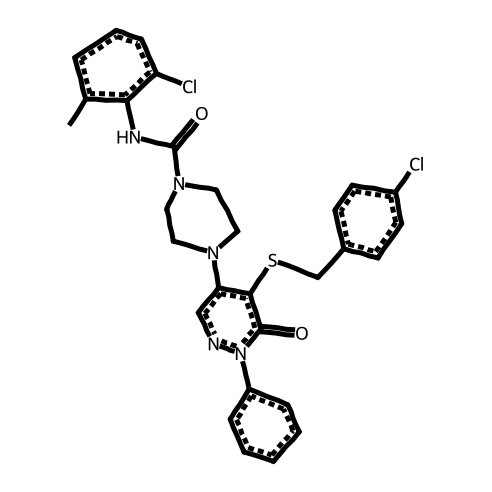 Cc1cccc(Cl)c1NC(=O)N1CCN(c2cnn(-c3ccccc3)c(=O)c2SCc2ccc(Cl)cc2)CC1